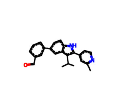 Cc1cc(-c2[nH]c3ccc(-c4cccc(C=O)c4)cc3c2C(C)C)ccn1